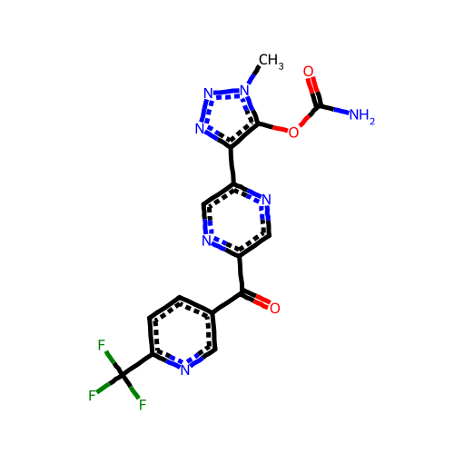 Cn1nnc(-c2cnc(C(=O)c3ccc(C(F)(F)F)nc3)cn2)c1OC(N)=O